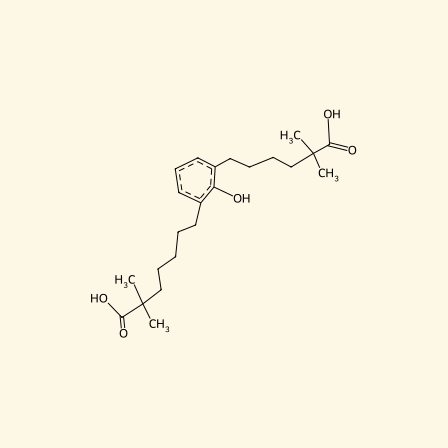 CC(C)(CCCCCc1cccc(CCCCC(C)(C)C(=O)O)c1O)C(=O)O